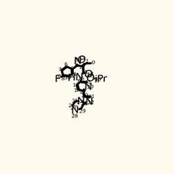 Cc1onc(-c2ccc(F)cc2)c1C(=O)Nc1ccc(-c2cnc3n2CCN(C)C3)nc1OC(C)C